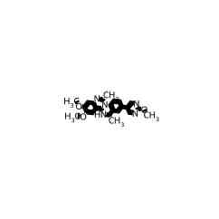 COc1ncc(-c2cccc(C(C)Nc3nc(C)nc4cc(OC)c(OC)cc34)c2)cn1